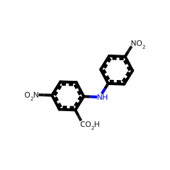 O=C(O)c1cc([N+](=O)[O-])ccc1Nc1ccc([N+](=O)[O-])cc1